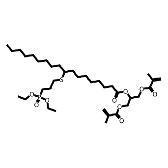 C=C(C)C(=O)OCC(COC(=O)C(=C)C)OC(=O)CCCCCCCC(CCCCCCCCC)SCCCP(=O)(OCC)OCC